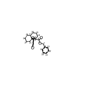 O=C1CC2(C(=O)OCc3ccccc3)CCCC3CCCC[C@]32O1